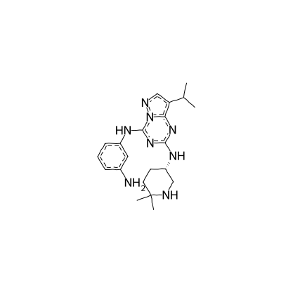 CC(C)c1cnn2c(Nc3cccc(N)c3)nc(N[C@H]3CCC(C)(C)NC3)nc12